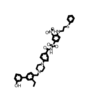 CCc1cc(-c2cccc(O)c2)ccc1CN1CCN(c2ccc(C(=O)NS(=O)(=O)c3ccc(NCCSc4ccccc4)c([N+](=O)[O-])c3)cc2)CC1